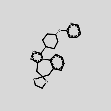 c1ccc(O[C@H]2CC[C@H](c3nnc4n3-c3ccccc3CC3(C4)OCCO3)CC2)nc1